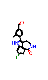 Cc1cc(C=O)ccc1-c1[nH]c2cc(F)cc3c2c1CCNC3=O